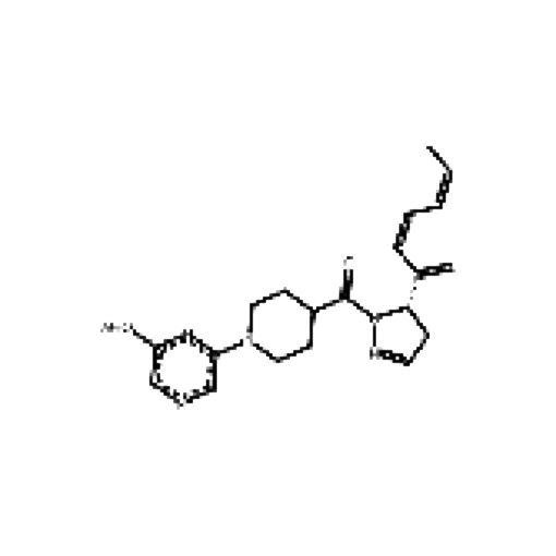 C=C(/C=C\C=C/C)[C@@H]1CC=NN1C(=O)C1CCN(c2cncc(OC)n2)CC1